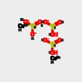 O=S([O-])O.O=S([O-])O.O=S([O-])[O-].[Ca+2].[Ca+2]